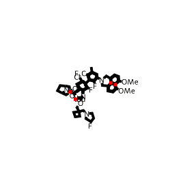 COc1ccc(CN(Cc2ccc(OC)cc2)c2cc(C)c(C(F)(F)F)c(-c3c(Cl)cc4c(N5CC6CCC(C5)N6C(=O)OC(C)(C)C)nc(OCC5(CN6CC[C@@H](F)C6)CCC5)nc4c3F)c2F)cc1